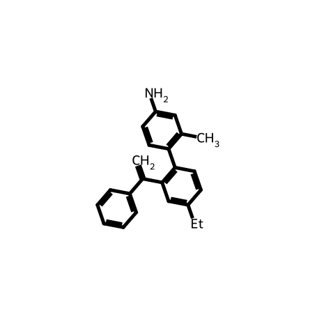 C=C(c1ccccc1)c1cc(CC)ccc1-c1ccc(N)cc1C